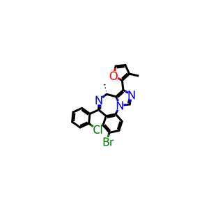 Cc1ccoc1-c1ncn2c1[C@@H](C)N=C(c1ccccc1Cl)c1cc(Br)ccc1-2